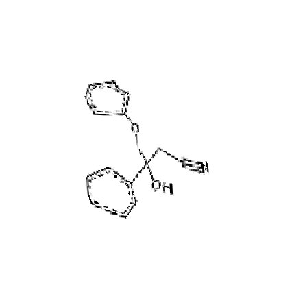 N#CCC(O)(COc1ccccc1)c1ccccc1